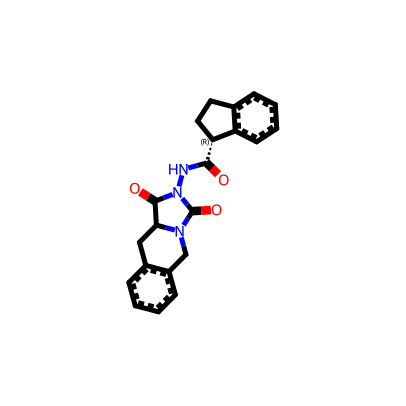 O=C(NN1C(=O)C2Cc3ccccc3CN2C1=O)[C@@H]1CCc2ccccc21